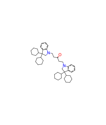 O=C(CCN1CC(C2CCCCC2)(C2CCCCC2)c2ccccc21)CCN1CC(C2CCCCC2)(C2CCCCC2)c2ccccc21